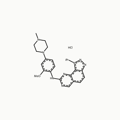 COc1cc(N2CCN(C)CC2)ccc1Nc1ncc2ccc3nnn(C(C)C)c3c2n1.Cl